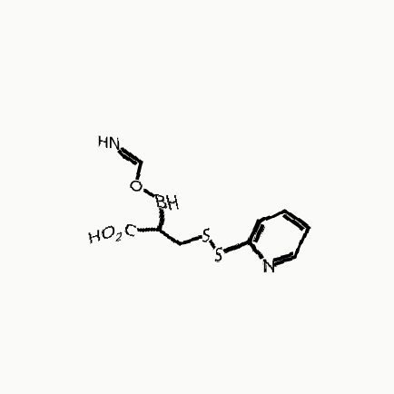 N=COBC(CSSc1ccccn1)C(=O)O